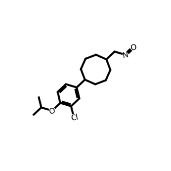 CC(C)Oc1ccc(C2CCCC(CN=O)CCC2)cc1Cl